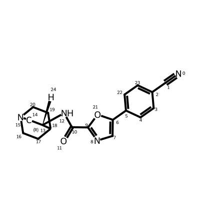 N#Cc1ccc(-c2cnc(C(=O)N[C@H]3CN4CCC3CC4)o2)cc1